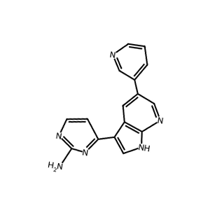 Nc1nccc(-c2c[nH]c3ncc(-c4cccnc4)cc23)n1